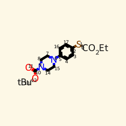 CCOC(=O)Sc1ccc(N2CCN(C(=O)OC(C)(C)C)CC2)cc1